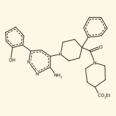 CCOC(=O)C1CCN(C(=O)C2(c3ccccc3)CCN(c3cc(-c4ccccc4O)nnc3N)CC2)CC1